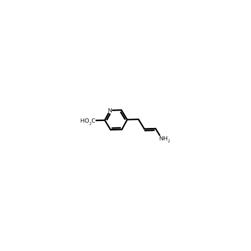 NC=CCc1ccc(C(=O)O)nc1